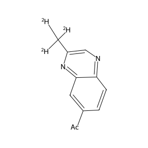 [2H]C([2H])([2H])c1cnc2ccc(C(C)=O)cc2n1